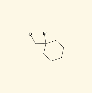 [O]CC1(Br)CCCCC1